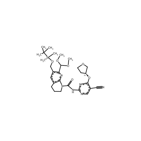 COC(OC)c1nc2c(cc1CO[Si](C)(C)C(C)(C)C)CCCN2C(=O)Nc1ncc(C#N)c(O[C@H]2CCOC2)n1